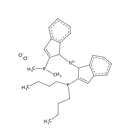 CCCCP(CCCC)C1=Cc2ccccc2[CH]1[Ti+2][CH]1C(P(C)C)=Cc2ccccc21.[Cl-].[Cl-]